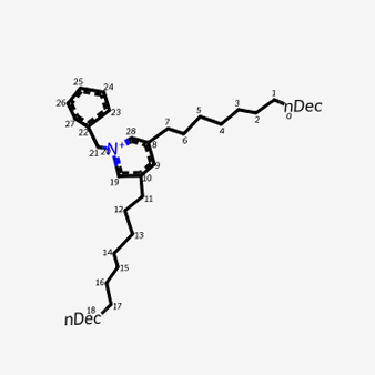 CCCCCCCCCCCCCCCCCc1cc(CCCCCCCCCCCCCCCCC)c[n+](Cc2ccccc2)c1